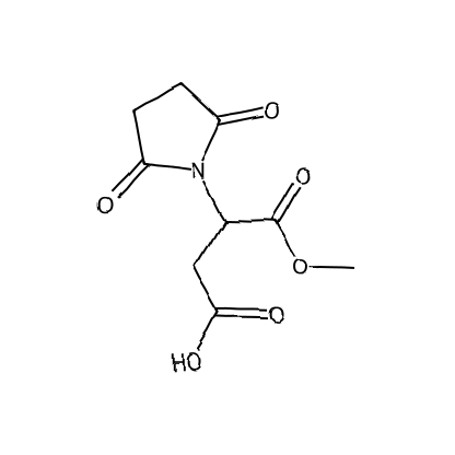 COC(=O)C(CC(=O)O)N1C(=O)CCC1=O